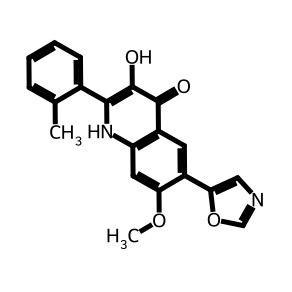 COc1cc2[nH]c(-c3ccccc3C)c(O)c(=O)c2cc1-c1cnco1